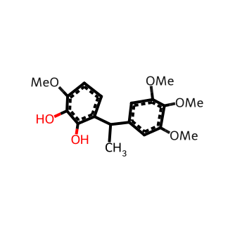 COc1ccc(C(C)c2cc(OC)c(OC)c(OC)c2)c(O)c1O